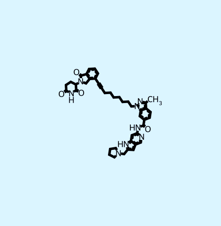 Cc1nn(CCCCCCCC#Cc2cccc3c2CN(C2CCC(=O)NC2=O)C3=O)c2cc(C(=O)Nc3cc4[nH]c(CN5CCCC5)cc4cn3)ccc12